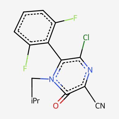 CC(C)Cn1c(-c2c(F)cccc2F)c(Cl)nc(C#N)c1=O